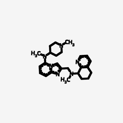 CN1CCC(N(C)c2cccc3nc(CN(C)C4CCCc5cccnc54)cn23)CC1